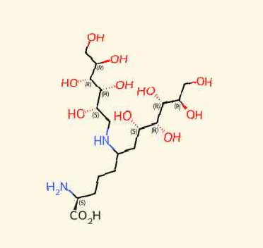 N[C@@H](CCCC(C[C@H](O)[C@@H](O)[C@H](O)[C@H](O)CO)NC[C@H](O)[C@@H](O)[C@H](O)[C@H](O)CO)C(=O)O